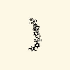 Cc1nc(C)c(-c2cccc(C(=O)N[C@@H](C)CN3CCN(S(=O)(=O)c4sc(NC(=O)O)nc4C)CC3)c2)s1